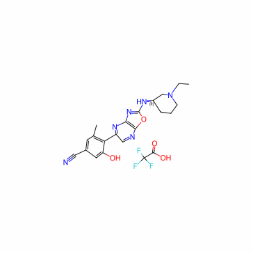 CCN1CCC[C@@H](Nc2nc3nc(-c4c(C)cc(C#N)cc4O)cnc3o2)C1.O=C(O)C(F)(F)F